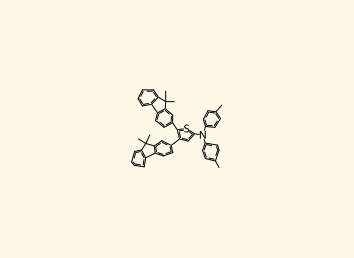 Cc1ccc(N(c2ccc(C)cc2)c2cc(-c3ccc4c(c3)C(C)(C)c3ccccc3-4)c(-c3ccc4c(c3)C(C)(C)c3ccccc3-4)s2)cc1